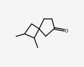 CC1CC2(CCC(=O)C2)C1C